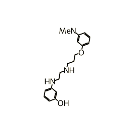 CNc1cccc(OCCCNCCNc2cccc(O)c2)c1